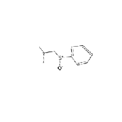 C[C](C)C[S+]([O-])c1ccccc1